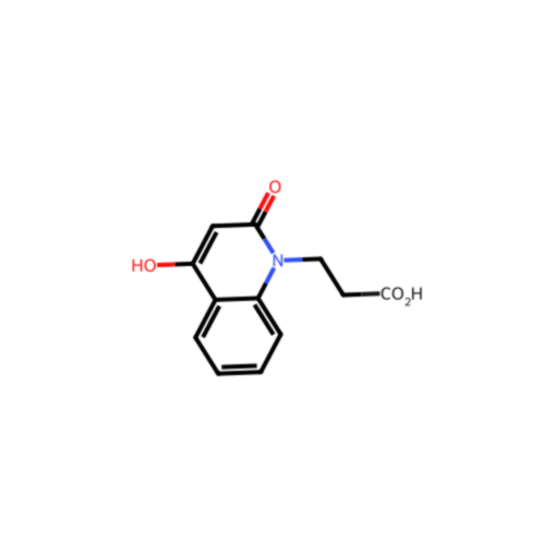 O=C(O)CCn1c(=O)cc(O)c2ccccc21